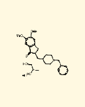 CC(O)CO.COc1cc2c(cc1OC)C(=O)C(CC1CCN(Cc3ccccc3)CC1)C2.Cl